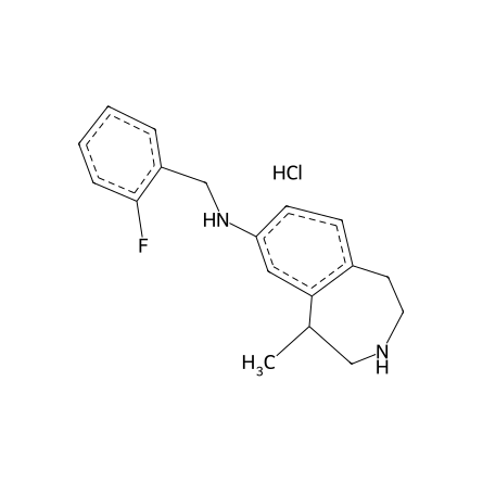 CC1CNCCc2ccc(NCc3ccccc3F)cc21.Cl